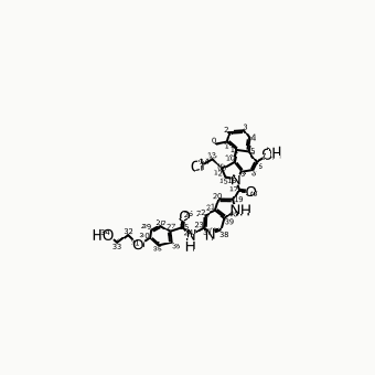 Cc1cccc2c(O)cc3c(c12)[C@H](CCl)CN3C(=O)c1cc2cc(NC(=O)c3ccc(OCCO)cc3)ncc2[nH]1